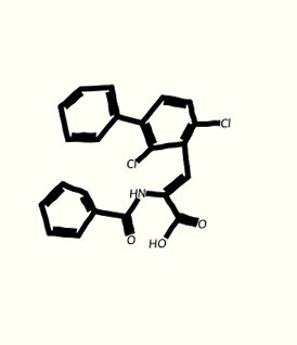 O=C(O)C(=Cc1c(Cl)ccc(-c2ccccc2)c1Cl)NC(=O)c1ccccc1